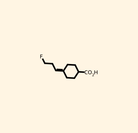 O=C(O)C1CCC(=CCCF)CC1